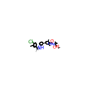 CCOC(=O)C1(NC(=O)c2c(C)cc(-c3cccc(N[C@H](C)c4ccc(Cl)c(C)c4)c3)cc2C)CC1